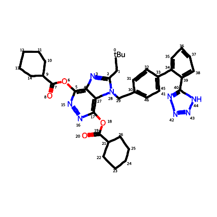 CC(C)(C)Cc1nc2c(OC(=O)C3CCCCC3)nnc(OC(=O)C3CCCCC3)c2n1Cc1ccc(-c2ccccc2-c2nnn[nH]2)cc1